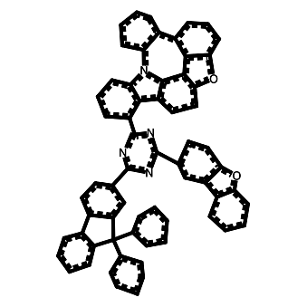 c1ccc(C2(c3ccccc3)c3ccccc3-c3ccc(-c4nc(-c5ccc6oc7ccccc7c6c5)nc(-c5cccc6c5c5ccc7oc8cccc9c%10ccccc%10n6c5c7c89)n4)cc32)cc1